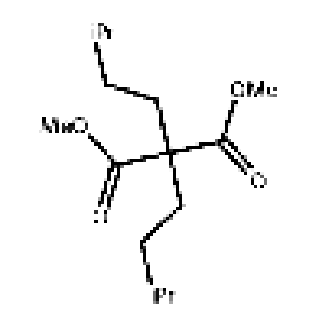 COC(=O)C(CCC(C)C)(CCC(C)C)C(=O)OC